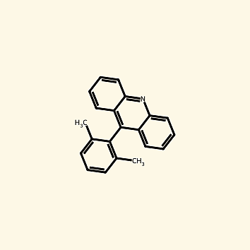 Cc1cccc(C)c1-c1c2ccccc2nc2ccccc12